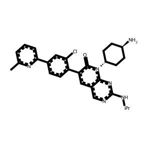 Cc1cccc(-c2ccc(-c3cc4cnc(NC(C)C)nc4n([C@H]4CC[C@H](N)CC4)c3=O)c(Cl)c2)n1